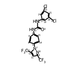 O=C(Nc1ccc(-n2nc(C(F)(F)F)cc2C(F)(F)F)cc1)Nc1cc(Cl)cc(Cl)c1